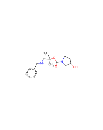 CC(C)(CNCc1ccccc1)OC(=O)N1CCC(O)C1